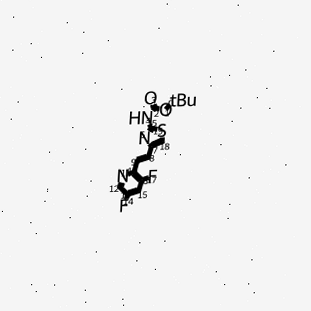 CC(C)(C)OC(=O)Nc1nc(C=Cc2ncc(F)cc2F)cs1